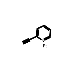 C#Cc1ccccn1.[Pt]